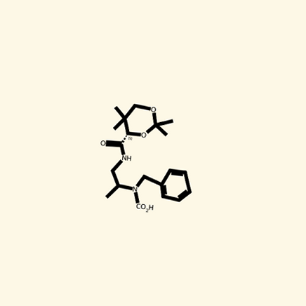 CC(CNC(=O)[C@H]1OC(C)(C)OCC1(C)C)N(Cc1ccccc1)C(=O)O